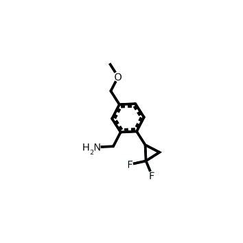 COCc1ccc(C2CC2(F)F)c(CN)c1